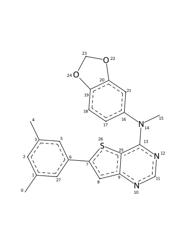 Cc1cc(C)cc(-c2cc3ncnc(N(C)c4ccc5c(c4)OCO5)c3s2)c1